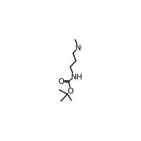 C[N]CCCNC(=O)OC(C)(C)C